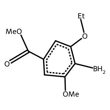 Bc1c(OC)cc(C(=O)OC)cc1OCC